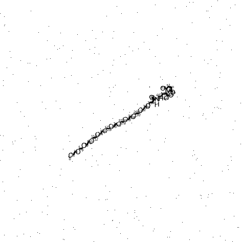 COCCOCCOCCOCCOCCOCCOCCOCCOCCOCCOCCOCCC(=O)NCCC[C@H](C(=O)O)N1C(=O)C=CC1=O